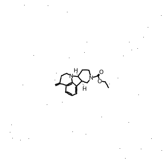 C=C1CCN2c3c1cccc3[C@@H]1CN(C(=O)OCC)CC[C@@H]12